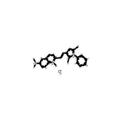 Cc1cc(/C=C/c2ccc3cc(N(C)C)ccc3[n+]2C)c(C)n1-c1ccccc1.[Cl-]